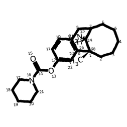 C[C@@]12CCCCCC(Cc3ccc(OC(=O)N4CCCCC4)cc31)[C@@H]2N